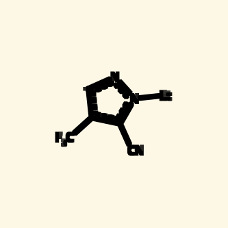 CCn1n[c]c(C(F)(F)F)c1C#N